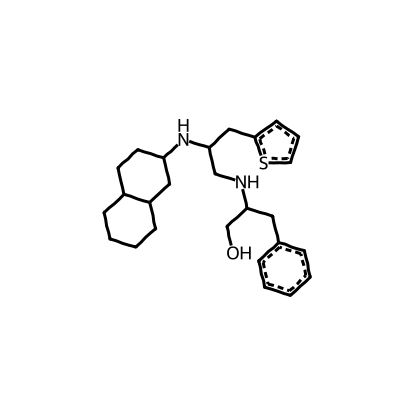 OCC(Cc1ccccc1)NCC(Cc1cccs1)NC1CCC2CCCCC2C1